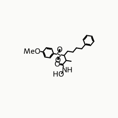 COc1ccc(S(=O)(=O)C(CCCCc2ccccc2)C(C)C(=O)NO)cc1